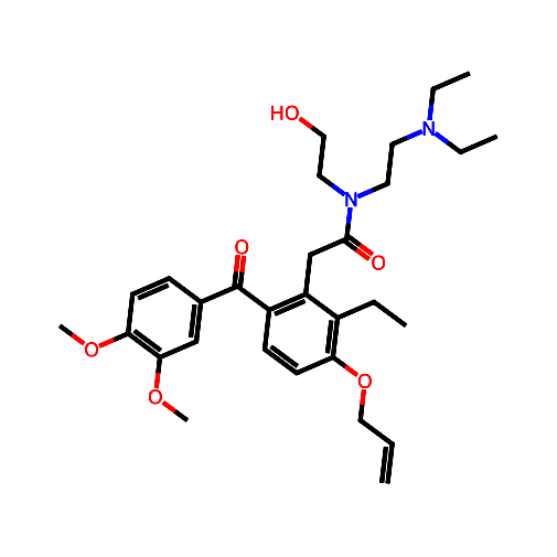 C=CCOc1ccc(C(=O)c2ccc(OC)c(OC)c2)c(CC(=O)N(CCO)CCN(CC)CC)c1CC